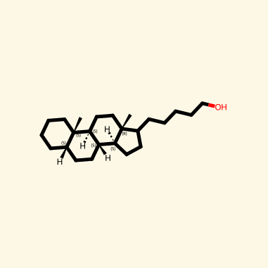 C[C@]12CCCC[C@H]1CC[C@@H]1[C@@H]2CC[C@]2(C)C(CCCCCO)CC[C@@H]12